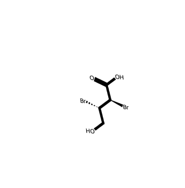 O=C(O)[C@@H](Br)[C@@H](Br)CO